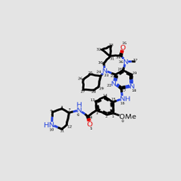 COc1cc(C(=O)NC2CCNCC2)ccc1Nc1ncc2c(n1)N(C1CCCCC1)CC1(CC1)C(=O)N2C